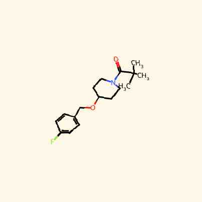 CC(C)(C)C(=O)N1CCC(OCc2ccc(F)cc2)CC1